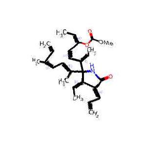 C=C/C=C1/C(=O)NC(/C(C)=C/C=C(/C)C=C)(C(/C=C\C(=C/C)OC(=O)OC)=C/C)/C1=C/C